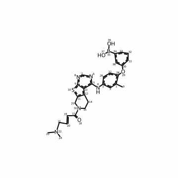 Cc1cc(Nc2ncnc3sc4c(c23)CCN(C(=O)/C=C/CN(C)C)C4)ccc1Oc1cccc(B(O)O)c1